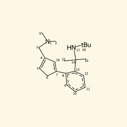 CN(C)CC1=CCC(c2ccccc2C(C)(C)NC(C)(C)C)=C1